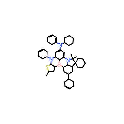 CC1CC2B3C4CC(C5CC=CCC5)CC5C4N(C4=CC(N(C6=CC=CCC6)C6CCCCC6)=CC(C34)N(C3CC=CCC3)C2S1)C(C)(C)C51CCCCC1